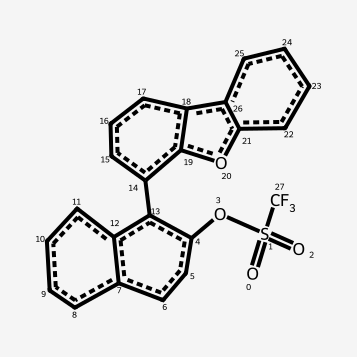 O=S(=O)(Oc1ccc2ccccc2c1-c1cccc2c1oc1ccccc12)C(F)(F)F